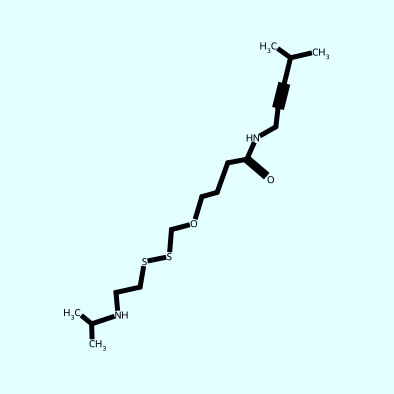 CC(C)C#CCNC(=O)CCCOCSSCCNC(C)C